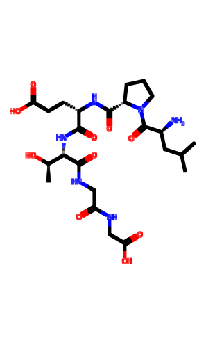 CC(C)C[C@H](N)C(=O)N1CCC[C@H]1C(=O)N[C@@H](CCC(=O)O)C(=O)N[C@H](C(=O)NCC(=O)NCC(=O)O)[C@@H](C)O